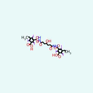 CCc1c(I)c(C(=O)O)c(I)c(C(=O)ONC(=O)CCC(O)CCC(=O)NOC(=O)c2c(I)c(CC)c(I)c(C(=O)O)c2I)c1I